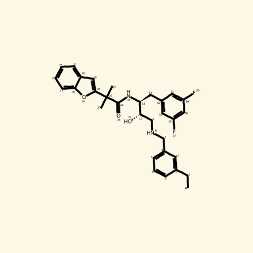 CCc1cccc(CNC[C@H](O)[C@H](Cc2cc(F)cc(F)c2)NC(=O)C(C)(C)c2cc3ccccc3o2)c1